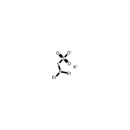 CCN(CC)SS(=O)(=O)[O-].[K+]